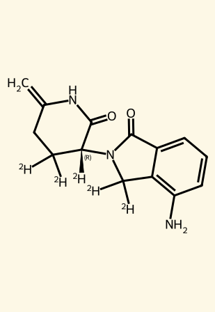 [2H]C1([2H])c2c(N)cccc2C(=O)N1[C@@]1([2H])C(=O)NC(=C)CC1([2H])[2H]